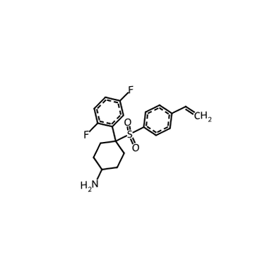 C=Cc1ccc(S(=O)(=O)C2(c3cc(F)ccc3F)CCC(N)CC2)cc1